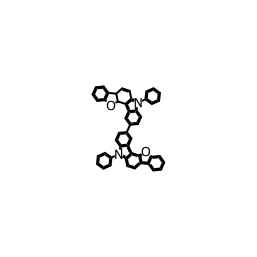 C1=CC2c3ccccc3OC2c2c1n(-c1ccccc1)c1ccc(-c3ccc4c(c3)c3c5oc6ccccc6c5ccc3n4-c3ccccc3)cc21